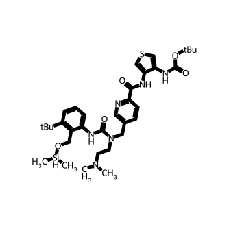 CN(C)CCN(Cc1ccc(C(=O)Nc2cscc2NC(=O)OC(C)(C)C)nc1)C(=O)Nc1cccc(C(C)(C)C)c1CO[SiH](C)C